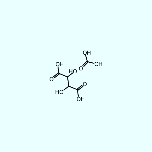 O=C(O)C(O)C(O)C(=O)O.O=C(O)O